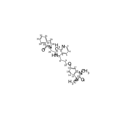 Cc1ncccc1C(CCCOc1ccc2c(c1)n(C)c(=O)n2C)NCCn1ccc2ccccc2c1=O